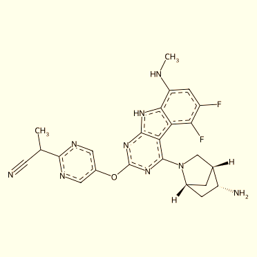 CNc1cc(F)c(F)c2c1[nH]c1nc(Oc3cnc(C(C)C#N)nc3)nc(N3C[C@H]4C[C@@H]3C[C@H]4N)c12